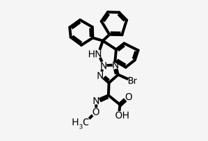 CON=C(C(=O)O)c1nn(NC(c2ccccc2)(c2ccccc2)c2ccccc2)nc1Br